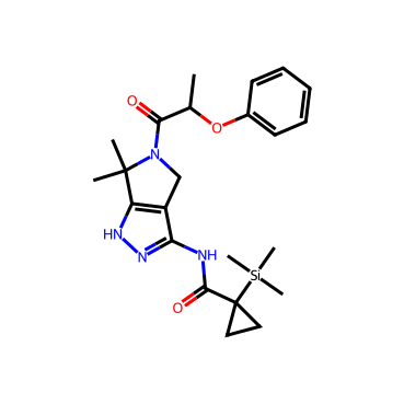 CC(Oc1ccccc1)C(=O)N1Cc2c(NC(=O)C3([Si](C)(C)C)CC3)n[nH]c2C1(C)C